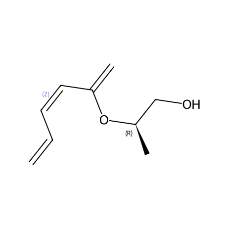 C=C/C=C\C(=C)O[C@H](C)CO